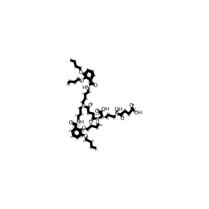 CCCCOc1cccc(C(=O)NCCCCN(CCCNC(=O)c2cccc(OCCCC)c2OCCCC)C(=O)CCC(=O)N[C@@H](CCCN(O)C(=O)CCC(=O)O)C(=O)O)c1OCCCC